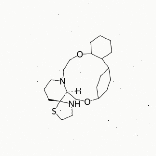 C1CCC2C3CCC(CC3)OC[C@@H]3N(CCC[C@]34NCCS4)CCOC2C1